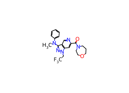 CN(c1ccccc1)c1nn(CC(F)(F)F)c2cc(C(=O)N3CCCOCC3)ncc12